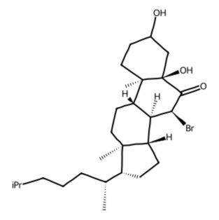 CC(C)CCC[C@@H](C)[C@H]1CC[C@H]2[C@@H]3[C@H](Br)C(=O)[C@@]4(O)CC(O)CC[C@]4(C)[C@H]3CC[C@]12C